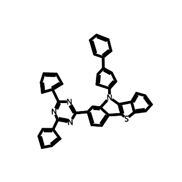 c1ccc(-c2ccc(-n3c4cc(-c5nc(-c6ccccc6)nc(-c6ccccc6)n5)ccc4c4sc5ccccc5c43)cc2)cc1